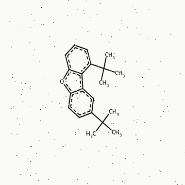 CC(C)(C)c1ccc2oc3cccc(C(C)(C)C)c3c2c1